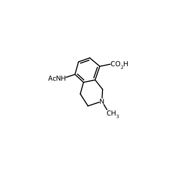 CC(=O)Nc1ccc(C(=O)O)c2c1CCN(C)C2